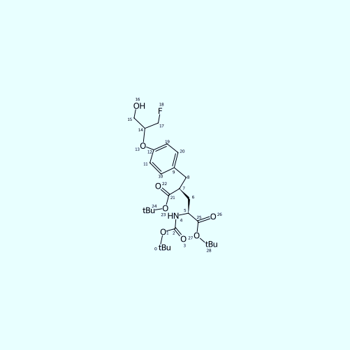 CC(C)(C)OC(=O)N[C@@H](C[C@H](Cc1ccc(OC(CO)CF)cc1)C(=O)OC(C)(C)C)C(=O)OC(C)(C)C